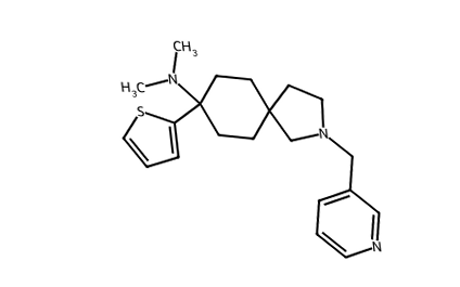 CN(C)C1(c2cccs2)CCC2(CCN(Cc3cccnc3)C2)CC1